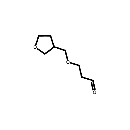 O=CCCOCC1CCOC1